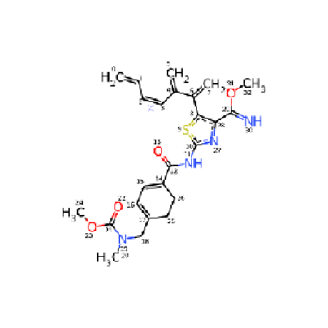 C=C/C=C\C(=C)C(=C)c1sc(NC(=O)C2=CC=C(CN(C)C(=O)OC)CC2)nc1C(=N)OC